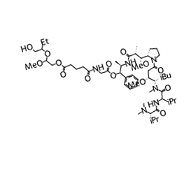 CCC(CO)OC(COC(=O)CCCC(=O)NCC(=O)OC(c1ccccc1)[C@@H](C)NC(=O)[C@H](C)[C@@H](OC)[C@@H]1CCCN1C(=O)C[C@@H](OC)[C@H]([C@@H](C)CC)N(C)C(=O)C(NC(=O)[C@H](C(C)C)N(C)C)C(C)C)OC